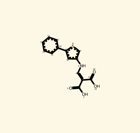 O=C(O)C(=CNc1csc(-c2ccccc2)c1)C(=O)O